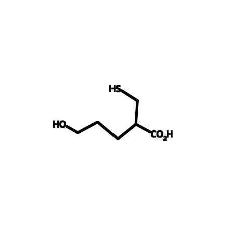 O=C(O)C(CS)CCCO